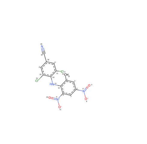 Cc1cc([N+](=O)[O-])cc([N+](=O)[O-])c1Nc1c(Cl)cc(C#N)cc1Cl